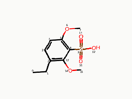 CCc1ccc(OC)c(S(=O)(=O)O)c1OC